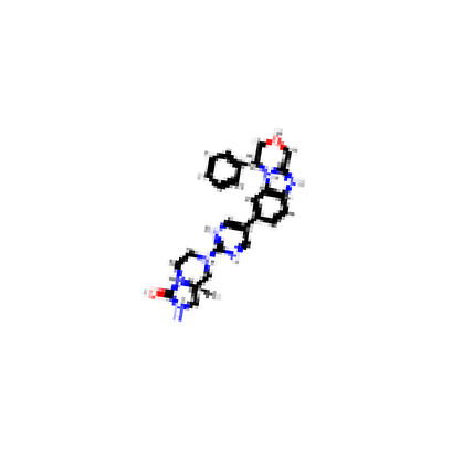 O=C1NC[C@H]2CN(c3ncc(-c4ccc5nc6n(c5c4)[C@@H](c4ccccc4)COC6)cn3)CCN12